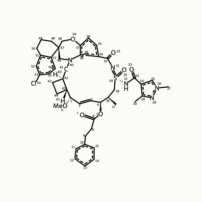 CO[C@H]1/C=C/[C@H](OC(=O)CCc2ccccc2)[C@H](C)C[S@@](=O)(NC(=O)c2cn(C)nc2C)=NC(=O)c2ccc3c(c2)N(C[C@@H]2CC[C@H]21)C[C@@]1(CCCc2cc(Cl)ccc21)CO3